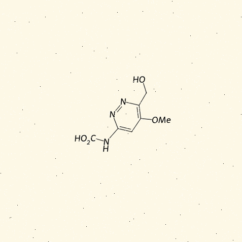 COc1cc(NC(=O)O)nnc1CO